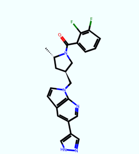 C[C@H]1C[C@H](Cn2ccc3cc(-c4cn[nH]c4)cnc32)CN1C(=O)c1cccc(F)c1F